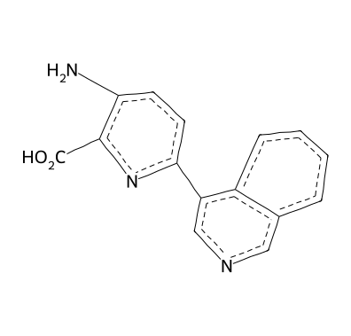 Nc1ccc(-c2cncc3ccccc23)nc1C(=O)O